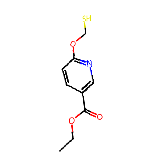 CCOC(=O)c1ccc(OCS)nc1